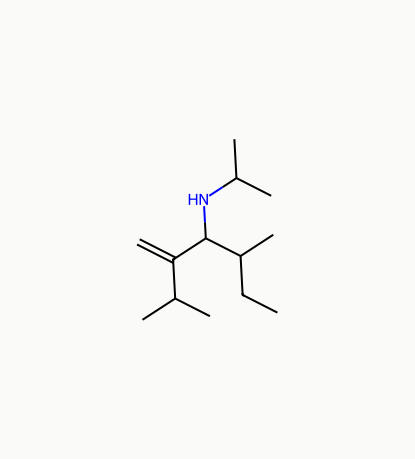 C=C(C(C)C)C(NC(C)C)C(C)CC